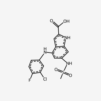 CS(=O)(=O)Nc1cc(Nc2ccc(F)c(Cl)c2)c2cc(C(=O)O)[nH]c2c1